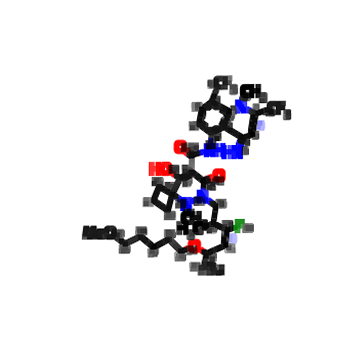 C=N/C(=C\C(=N)c1cc(C(F)(F)F)ccc1NC(=O)C1=C(O)C2(CCC2)N(C)N(CC(C)/C(F)=C\C(CCCC)OCCCCCOC)C1=O)C(F)(F)F